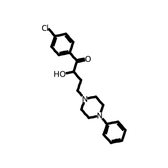 O=C(c1ccc(Cl)cc1)C(O)CCN1CCN(c2ccccc2)CC1